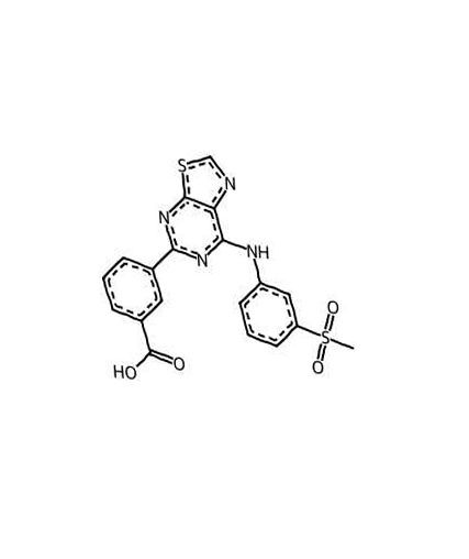 CS(=O)(=O)c1cccc(Nc2nc(-c3cccc(C(=O)O)c3)nc3scnc23)c1